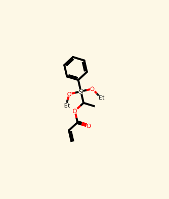 C=CC(=O)OC(C)[Si](OCC)(OCC)c1ccccc1